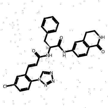 O=C(C=Cc1cc(Cl)ccc1-n1cnnn1)N[C@@H](Cc1ccccc1)C(=O)Nc1ccc2c(c1)CCNC2=O